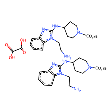 CCOC(=O)N1CCC(Nc2nc3ccccc3n2CCN)CC1.CCOC(=O)N1CCC(Nc2nc3ccccc3n2CCN)CC1.O=C(O)C(=O)O